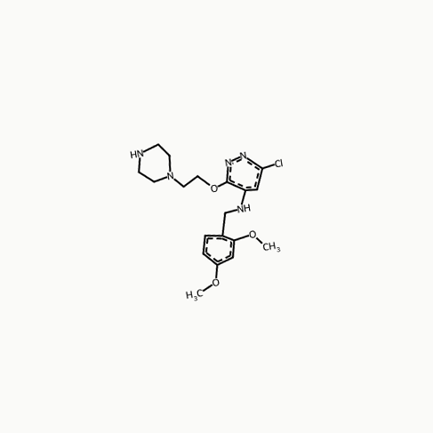 COc1ccc(CNc2cc(Cl)nnc2OCCN2CCNCC2)c(OC)c1